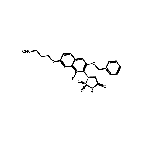 O=CCCCOc1ccc2cc(OCc3ccccc3)c(N3CC(=O)NS3(=O)=O)c(F)c2c1